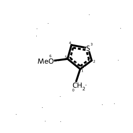 [CH2]c1cscc1OC